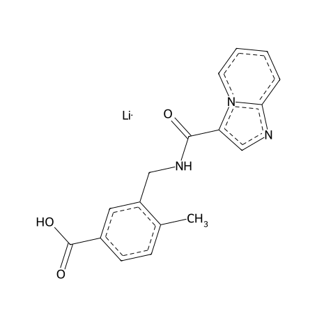 Cc1ccc(C(=O)O)cc1CNC(=O)c1cnc2ccccn12.[Li]